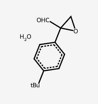 CC(C)(C)c1ccc(C2(C=O)CO2)cc1.O